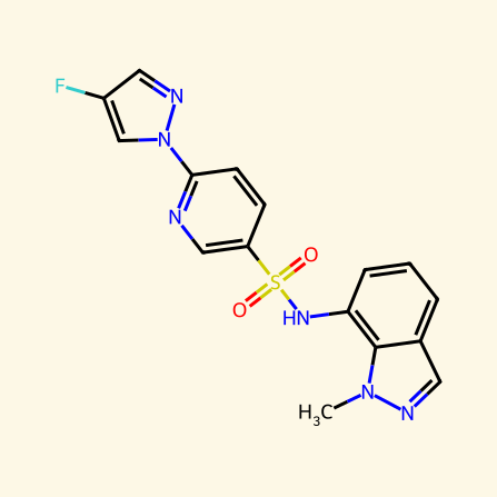 Cn1ncc2cccc(NS(=O)(=O)c3ccc(-n4cc(F)cn4)nc3)c21